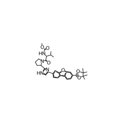 COC(=O)NC(C(=O)N1CCCC1c1nc(-c2ccc3c(c2)oc2cc(B4OC(C)(C)C(C)(C)O4)ccc23)c[nH]1)C(C)C